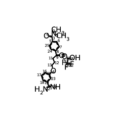 CN(C)C(=O)c1ccc(C(=O)CCCOc2cccc(C(=N)N)c2)cc1.O=C(O)C(F)(F)F